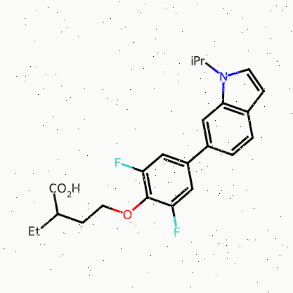 CCC(CCOc1c(F)cc(-c2ccc3ccn(C(C)C)c3c2)cc1F)C(=O)O